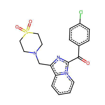 O=C(c1ccc(Cl)cc1)c1nc(CN2CCS(=O)(=O)CC2)c2ccccn12